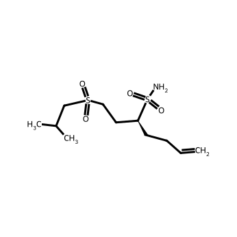 C=CCC[C@@H](CCS(=O)(=O)CC(C)C)S(N)(=O)=O